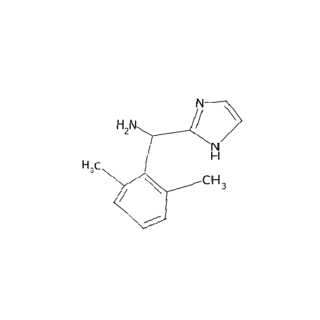 Cc1cccc(C)c1C(N)c1ncc[nH]1